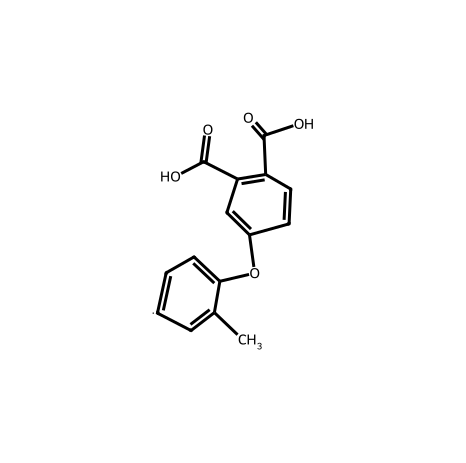 Cc1c[c]ccc1Oc1ccc(C(=O)O)c(C(=O)O)c1